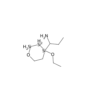 CCO[Si]1(C(N)CC)CCO[SiH2][SiH2]1